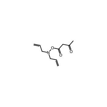 C=CCN(CC=C)OC(=O)CC(C)=O